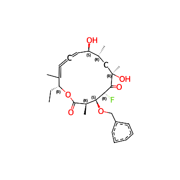 CC[C@H]1OC(=O)[C@H](C)[C@H](OCc2ccccc2)[C@@H](F)C(=O)[C@](C)(O)C[C@@H](C)[C@H](O)C=C=C=C1C